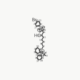 CC(C)(C)[Si](OCCCCCCC(O)CC(C)(C)S(=O)(=O)c1ccc(Br)cc1)(c1ccccc1)c1ccccc1